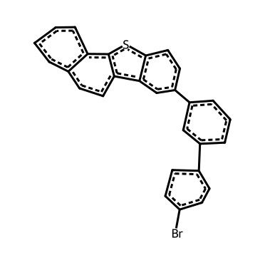 Brc1ccc(-c2cccc(-c3ccc4sc5c6ccccc6ccc5c4c3)c2)cc1